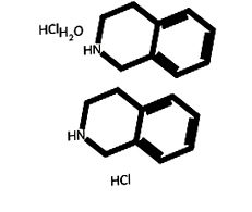 Cl.Cl.O.c1ccc2c(c1)CCNC2.c1ccc2c(c1)CCNC2